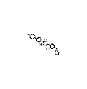 CC1CCN(c2ccc(C(=O)N[C@H]3COc4cc(CN5CCCC5)ccc4C3)cc2)CC1